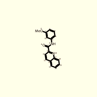 COc1cccc(NC(=O)c2ccc3ccccc3n2)c1